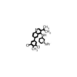 C=C(C)c1cnc2ccc(-c3cc(Cl)c(C)c(Cl)c3)cc2c1NC1CCCN(CCC)C1